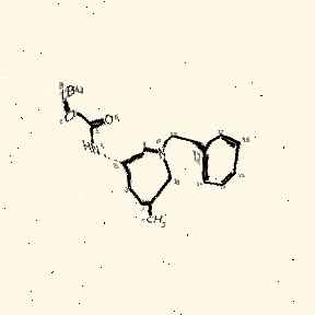 CC1C[C@H](NC(=O)OC(C)(C)C)CN(Cc2ccccc2)C1